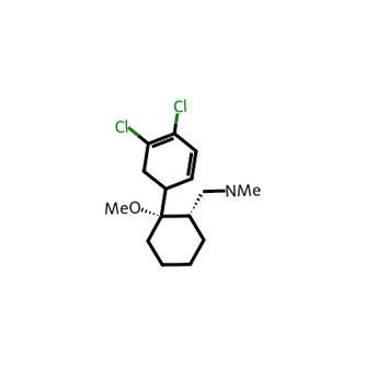 CNC[C@@H]1CCCC[C@@]1(OC)C1C=CC(Cl)=C(Cl)C1